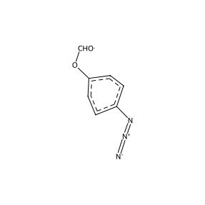 [N-]=[N+]=Nc1ccc(O[C]=O)cc1